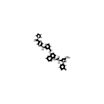 CC(C)(C)c1cc(NC(=O)Nc2ccc(OCc3ccnc(Nc4cnc(C(=O)N5CCCC5)cn4)c3)c3ccccc23)n(-c2cccc(F)c2)n1